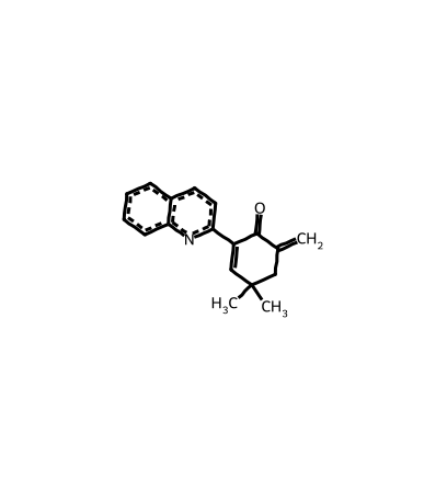 C=C1CC(C)(C)C=C(c2ccc3ccccc3n2)C1=O